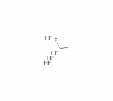 C=CF.F.F.F.F